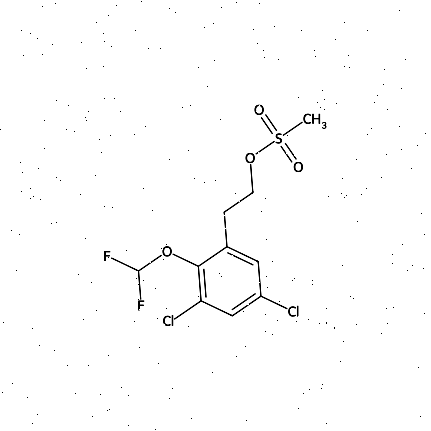 CS(=O)(=O)OCCc1cc(Cl)cc(Cl)c1OC(F)F